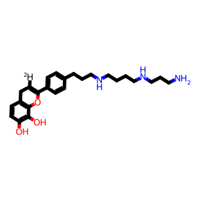 [2H]C1=C(c2ccc(CCCNCCCCNCCCN)cc2)Oc2c(ccc(O)c2O)C1